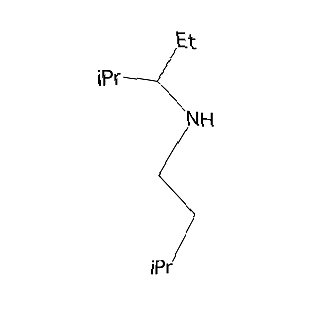 CCC(NCCC(C)C)C(C)C